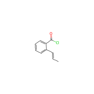 CC=Cc1ccccc1C(=O)Cl